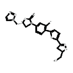 O=C1O[C@@H](Cn2ccnn2)CN1c1ccc(-c2ccc(C3=NOC(CO)C3)s2)c(F)c1